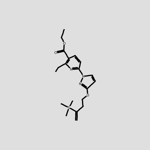 C=C(CCOc1ccn(-c2ccc(C(=O)OCC)c(CC)n2)n1)S(C)(C)C